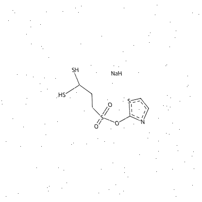 O=S(=O)(CCC(S)S)Oc1nccs1.[NaH]